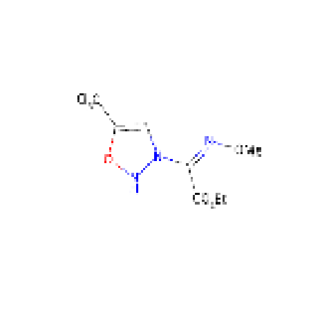 CCOC(=O)C(=NOC)N1C=C(C(Cl)(Cl)Cl)ON1